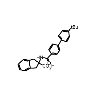 CC(C)(C)c1ccc(-c2ccc(C(=O)NC3(C(=O)O)Cc4ccccc4C3)cc2)cc1